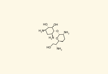 N[C@@H]1CC[C@@H]([C@H](N)CO)O[C@@H]1O[C@H]1[C@H](O)[C@@H](O)[C@H](N)C[C@@H]1N